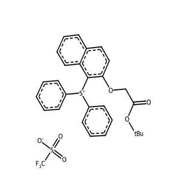 CC(C)(C)OC(=O)COc1ccc2ccccc2c1[S+](c1ccccc1)c1ccccc1.O=S(=O)([O-])C(F)(F)F